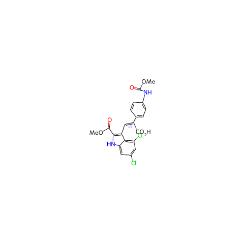 COC(=O)Nc1ccc(/C(=C/c2c(C(=O)OC)[nH]c3cc(Cl)cc(Cl)c23)C(=O)O)cc1